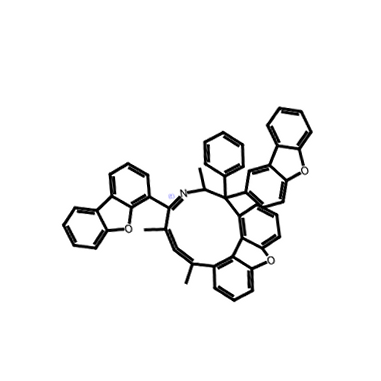 CC1=C=C(C)c2cccc3oc4cccc(c4c23)C(c2ccccc2)(c2ccc3oc4ccccc4c3c2)C(C)/N=C\1c1cccc2c1oc1ccccc12